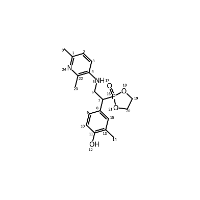 Cc1ccc(NCC(c2ccc(O)c(C)c2)P2(=O)OCCO2)c(C)n1